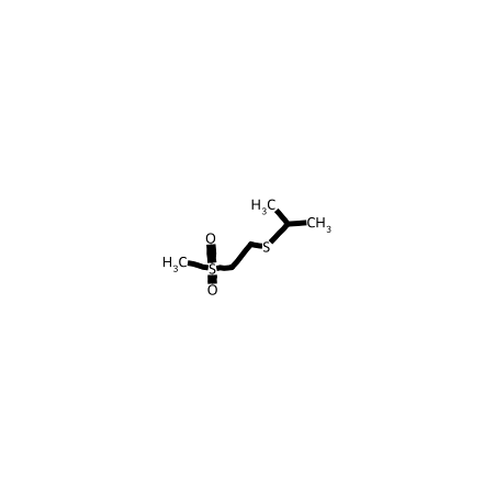 CC(C)SCCS(C)(=O)=O